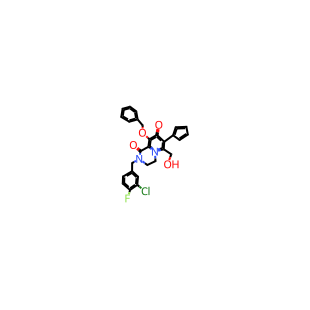 O=C1c2c(OCc3ccccc3)c(=O)c(C3=C=CC=C3)c(CO)n2CCN1Cc1ccc(F)c(Cl)c1